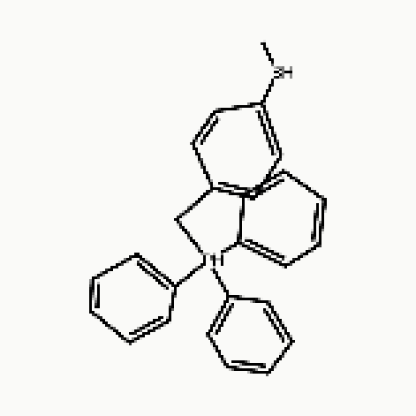 CBc1ccc(C[PH](c2ccccc2)(c2ccccc2)c2ccccc2)cc1